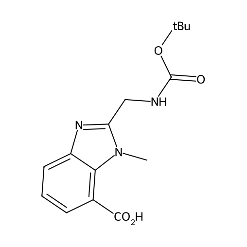 Cn1c(CNC(=O)OC(C)(C)C)nc2cccc(C(=O)O)c21